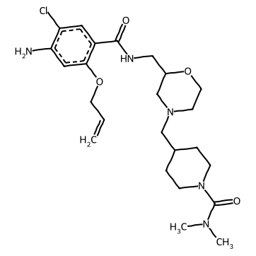 C=CCOc1cc(N)c(Cl)cc1C(=O)NCC1CN(CC2CCN(C(=O)N(C)C)CC2)CCO1